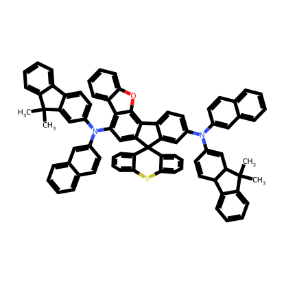 CC1(C)c2ccccc2-c2ccc(N(c3ccc4ccccc4c3)c3cc4c(c5oc6ccccc6c35)-c3ccc(N(C5=CC6C(C=C5)c5ccccc5C6(C)C)c5ccc6ccccc6c5)cc3C43c4ccccc4Sc4ccccc43)cc21